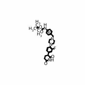 CC(C)(C)OC(=O)NC12CCC(CN3CCN(c4ccc(C5CCC(=O)NC5=O)cc4F)CC3)(CC1)OC2